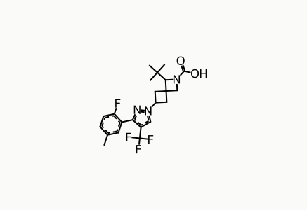 Cc1ccc(F)c(-c2nn(C3CC4(C3)CN(C(=O)O)C4C(C)(C)C)cc2C(F)(F)F)c1